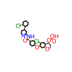 O=C(O)OC1CCOc2cc(Oc3ccc(C(=O)Nc4cc(-c5ccccc5Cl)ccn4)cc3)c(Cl)cc21